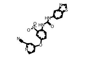 N#Cc1cc(Oc2ccc(NC(=O)Nc3ccc4scnc4c3)c([N+](=O)[O-])c2)ccn1